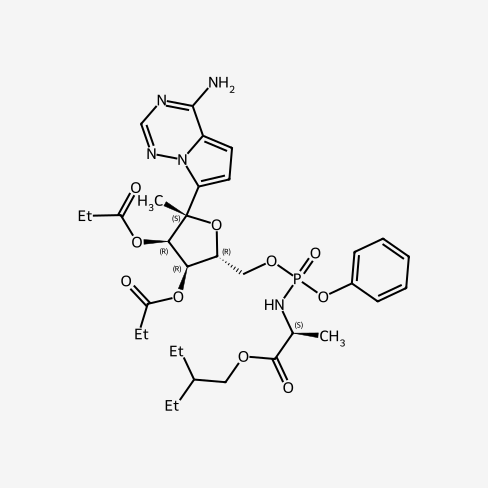 CCC(=O)O[C@H]1[C@@H](OC(=O)CC)[C@](C)(c2ccc3c(N)ncnn23)O[C@@H]1COP(=O)(N[C@@H](C)C(=O)OCC(CC)CC)Oc1ccccc1